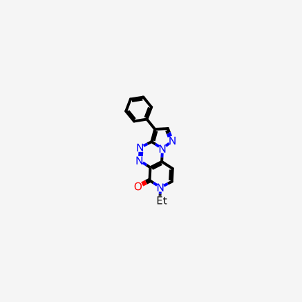 CCn1ccc2c(nnc3c(-c4ccccc4)cnn32)c1=O